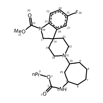 CCCOC(=O)NC1CCCCC(N2CCC3(CC2)CN(C(=O)OC)c2ccc(F)cc23)C1